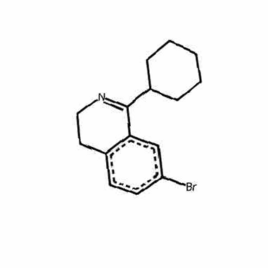 Brc1ccc2c(c1)C(C1CCCCC1)=NCC2